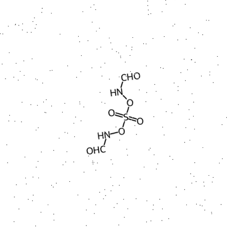 O=CNOS(=O)(=O)ONC=O